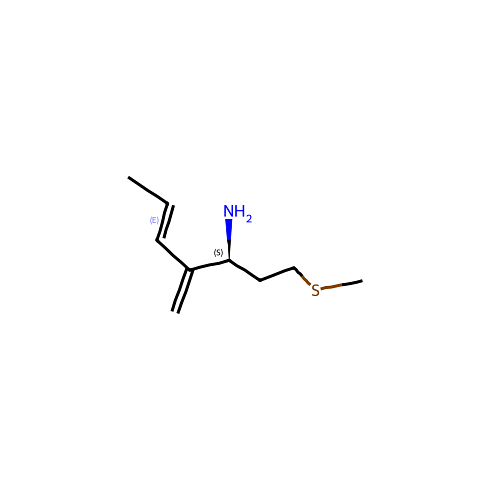 C=C(/C=C/C)[C@@H](N)CCSC